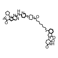 CN(C)C(=O)c1cc2cnc(Nc3ccc(N4CCN(C(=O)CCCCCCSc5cccc6c5CN(C5CCC(=O)NC5=O)C6=O)CC4)cn3)nc2n1C1CCCC1